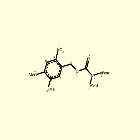 CCCCCN(CCCCC)C(=O)OCc1cc(OC)c(OC)cc1[N+](=O)[O-]